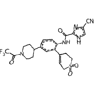 N#Cc1c[nH]c(C(=O)Nc2ccc(C3CCN(C(=O)C(F)(F)F)CC3)cc2C2=CCS(=O)(=O)CC2)n1